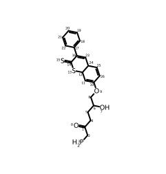 O=C(CP)CCC(O)COC1=CC2SC(=S)C(c3ccccc3)=CC2C=C1